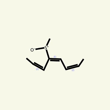 C\C=C/C=C(\C=C/C)[S+](C)[O-]